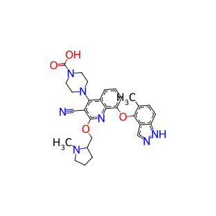 Cc1ccc2[nH]ncc2c1Oc1cccc2c(N3CCN(C(=O)O)CC3)c(C#N)c(OCC3CCCN3C)nc12